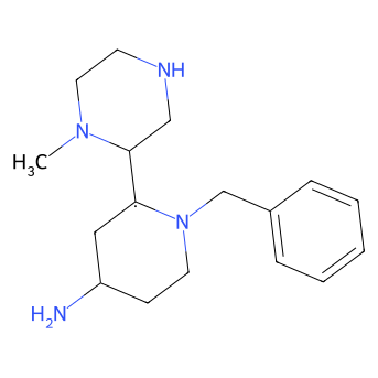 CN1CCNCC1[C]1CC(N)CCN1Cc1ccccc1